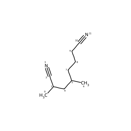 CC(C#N)CC(C)CCCC#N